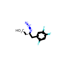 [N-]=[N+]=N[C@@H](CC(=O)O)Cc1cc(F)c(F)cc1F